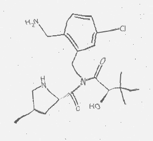 C[C@H]1CN[C@H](C(=O)N(Cc2cc(Cl)ccc2CN)C(=O)[C@H](O)C(C)(C)C)C1